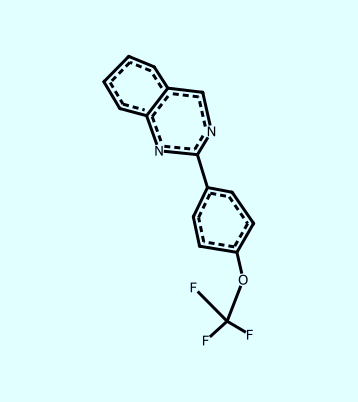 FC(F)(F)Oc1ccc(-c2ncc3ccccc3n2)cc1